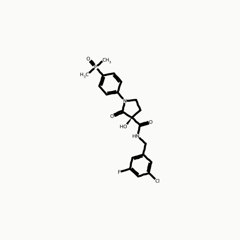 CP(C)(=O)c1ccc(N2CC[C@](O)(C(=O)NCc3cc(F)cc(Cl)c3)C2=O)cc1